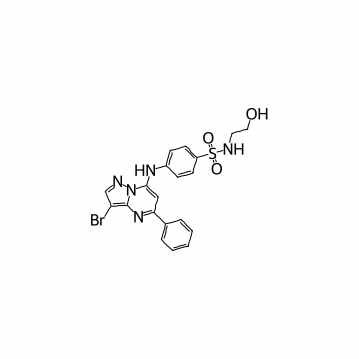 O=S(=O)(NCCO)c1ccc(Nc2cc(-c3ccccc3)nc3c(Br)cnn23)cc1